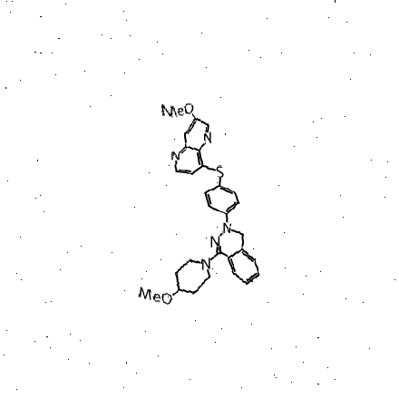 COc1cnc2c(Sc3ccc(N4Cc5ccccc5C(N5CCC(OC)CC5)=N4)cc3)ccnc2c1